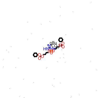 CCCCC(C(=O)O)N(C)C(=N)NP(=O)(OCCCCOC(=O)OC1CCCCC1)OCCCCOC(=O)OC1CCCCC1